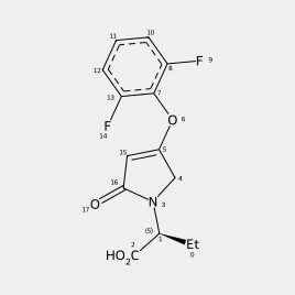 CC[C@@H](C(=O)O)N1CC(Oc2c(F)cccc2F)=CC1=O